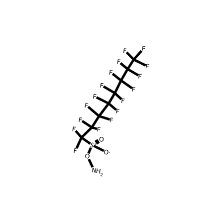 NO[S+]([O])(=O)C(F)(F)C(F)(F)C(F)(F)C(F)(F)C(F)(F)C(F)(F)C(F)(F)C(F)(F)F